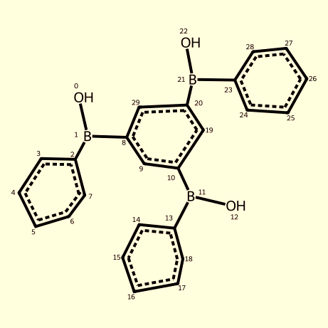 OB(c1ccccc1)c1cc(B(O)c2ccccc2)cc(B(O)c2ccccc2)c1